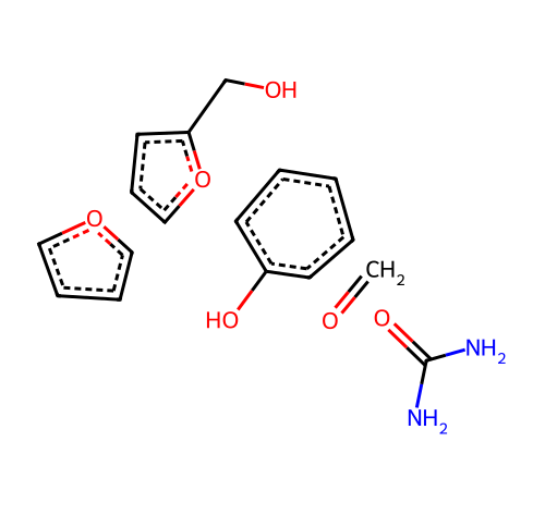 C=O.NC(N)=O.OCc1ccco1.Oc1ccccc1.c1ccoc1